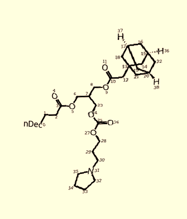 CCCCCCCCCCCCC(=O)OCC(COC(=O)CC12C[C@H]3C[C@H](C1)C[C@@H](C2)C3)COC(=O)OCCCN1CCCC1